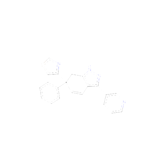 C1=CC(c2ccccc2)(c2cscn2)Cc2[nH]nc(-c3cccnc3)c21